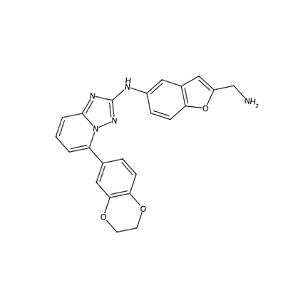 NCc1cc2cc(Nc3nc4cccc(-c5ccc6c(c5)OCCO6)n4n3)ccc2o1